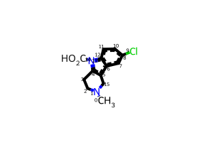 CN1CCc2c(c3cc(Cl)ccc3n2C(=O)O)C1